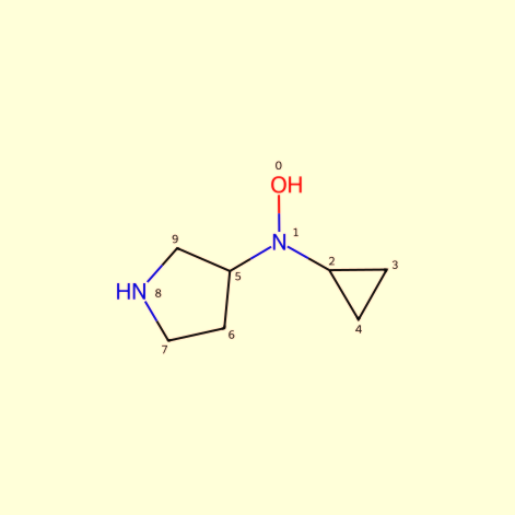 ON(C1CC1)C1CCNC1